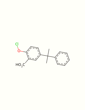 CC(C)(c1ccccc1)c1ccc(OCl)c(C(=O)O)c1